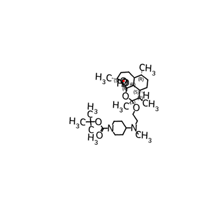 C[C@@H]1CC[C@H]2[C@@H](C)[C@@](C)(OCCN(C)C3CCN(C(=O)OC(C)(C)C)CC3)O[C@@H]3O[C@]4(C)CCC1[C@]32OO4